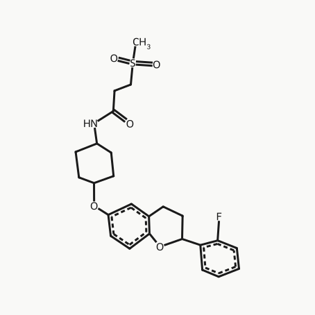 CS(=O)(=O)CCC(=O)NC1CCC(Oc2ccc3c(c2)CCC(c2ccccc2F)O3)CC1